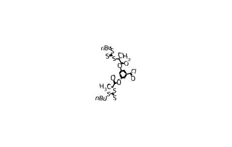 CCCCSC(=S)SC(C)C(=O)Oc1cc(OC(=O)C(C)SC(=S)SCCCC)cc(C(=O)Cl)c1